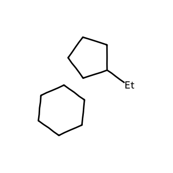 C1CCCCC1.CCC1CCCC1